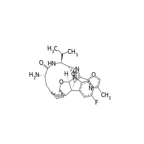 Cc1coc(-c2nc3oc2[C@@]24c5cc(F)ccc5N[C@@H]2Oc2ccc(cc24)C[C@H](N)C(=O)N[C@H]3C(C)C)n1